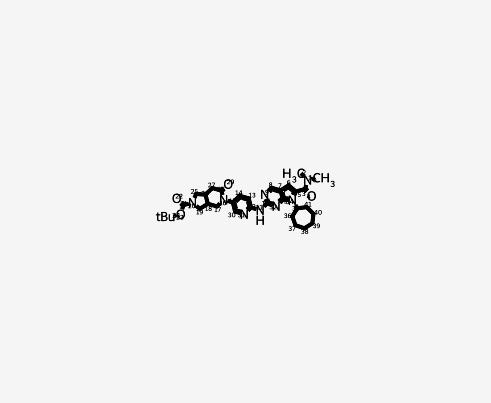 CN(C)C(=O)c1cc2cnc(Nc3ccc(N4CC5CN(C(=O)OC(C)(C)C)CC5CC4=O)cn3)nc2n1C1CCCCCC1